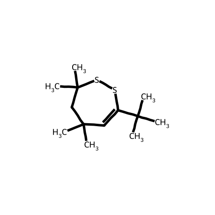 CC1(C)C=C(C(C)(C)C)SSC(C)(C)C1